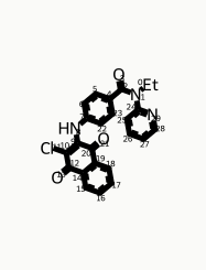 CCN(C(=O)c1ccc(NC2=C(Cl)C(=O)c3ccccc3C2=O)cc1)c1ccccn1